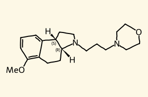 COc1cccc2c1CC[C@@H]1[C@H]2CCN1CCCN1CCOCC1